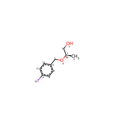 C[C@H](CO)OCc1ccc(I)cc1